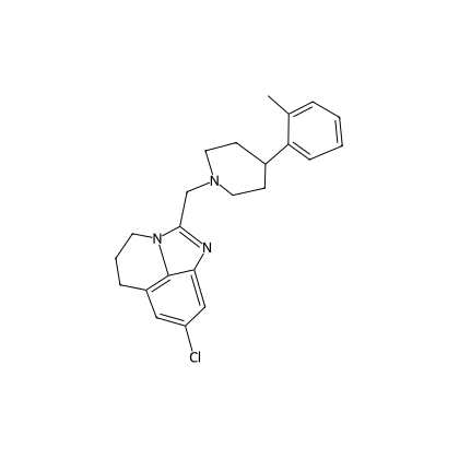 Cc1ccccc1C1CCN(Cc2nc3cc(Cl)cc4c3n2CCC4)CC1